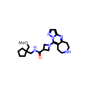 COCC1(CNC(=O)C2CN(c3c4c(nc5ccnn35)CCNCC4)C2)CCCC1